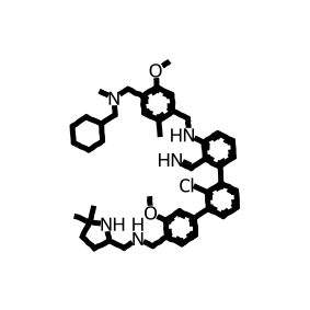 COc1cc(-c2cccc(-c3cccc(NCc4cc(OC)c(CN(C)CC5CCCCC5)cc4C)c3C=N)c2Cl)ccc1CNCC1CCC(C)(C)N1